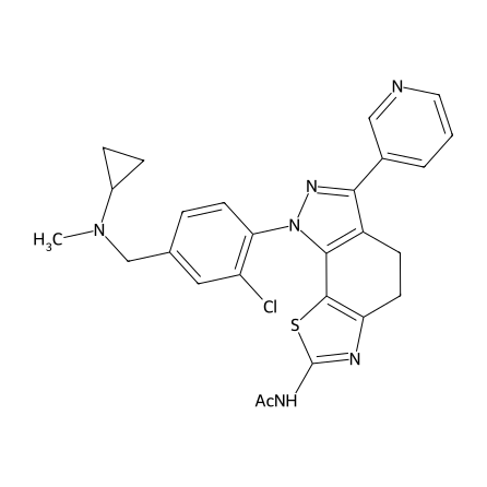 CC(=O)Nc1nc2c(s1)-c1c(c(-c3cccnc3)nn1-c1ccc(CN(C)C3CC3)cc1Cl)CC2